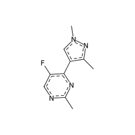 Cc1ncc(F)c(-c2cn(C)nc2C)n1